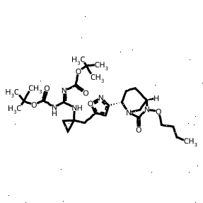 CCCCON1C(=O)N2C[C@@H]1CC[C@H]2c1cc(CC2(N/C(=N\C(=O)OC(C)(C)C)NC(=O)OC(C)(C)C)CC2)on1